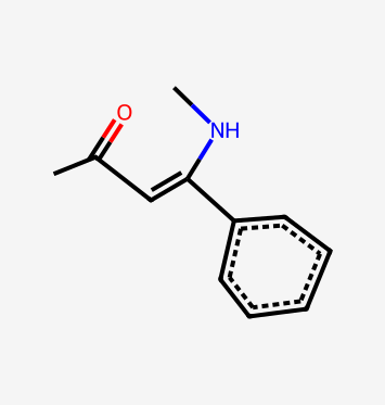 CN/C(=C\C(C)=O)c1ccccc1